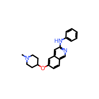 CN1CCC(Oc2ccc3cnc(Nc4ccccc4)cc3c2)CC1